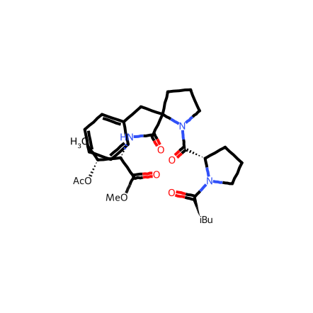 CC[C@H](C)C(=O)N1CCC[C@H]1C(=O)N1CCCC1(Cc1ccccc1)C(=O)N[C@H](C(=O)OC)[C@@H](C)OC(C)=O